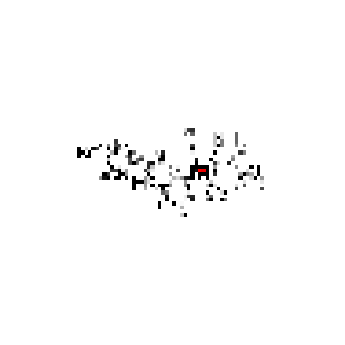 COC1CCC2(CC1)Cc1ccc(NC(=O)c3ncc(Br)cn3)cc1C21N=C(C)C(N)=N1